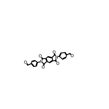 O=Cc1ccc(-n2c(=O)c3cc4c(=O)n(-c5ccc(C=O)cc5)c(=O)c4cc3c2=O)cc1